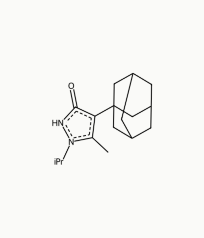 Cc1c(C23CC4CC(CC(C4)C2)C3)c(=O)[nH]n1C(C)C